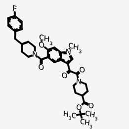 COc1cc2c(cc1C(=O)N1CCC(Cc3ccc(F)cc3)CC1)c(C(=O)C(=O)N1CCC(C(=O)OC(C)(C)C)CC1)cn2C